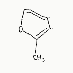 Cc1[c][c]co1